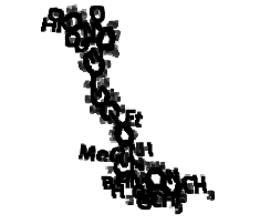 CCc1cc(Nc2ncc(Br)c(Nc3ccc4nc(C)c(F)cc4c3P(C)(C)=O)n2)c(OC)cc1N1CCC2(CCN(CC3CCN(c4cccc5c4C(=O)N(C4CCC(=O)NC4=O)C5=O)CC3)CC2)CC1